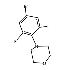 Fc1cc(Br)cc(F)c1N1CCOCC1